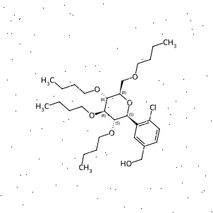 CCCCOC[C@H]1O[C@@H](c2cc(CO)ccc2Cl)[C@H](OCCCC)[C@@H](OCCCC)[C@@H]1OCCCC